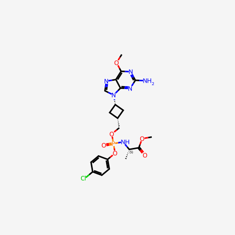 COC(=O)[C@H](C)NP(=O)(OC[C@H]1C[C@@H](n2cnc3c(OC)nc(N)nc32)C1)Oc1ccc(Cl)cc1